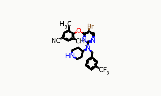 Cc1cc(C#N)cc(C)c1Oc1nc(N(Cc2cccc(C(F)(F)F)c2)C2CCNCC2)ncc1Br